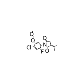 COCOc1cc(N2C(=O)CC(=C(C)C)C2=O)c(F)cc1Cl